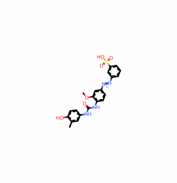 COc1cc(/N=N/c2cccc(S(=O)(=O)O)c2)ccc1NC(=O)Nc1ccc(O)c(C)c1